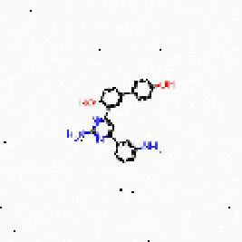 Nc1cccc(-c2cc(-c3cc(-c4ccc(O)cc4)ccc3O)nc(N)n2)c1